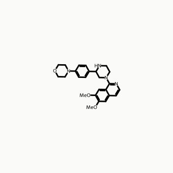 COc1cc2ccnc(N3CCNC(c4ccc(N5CCOCC5)cc4)C3)c2cc1OC